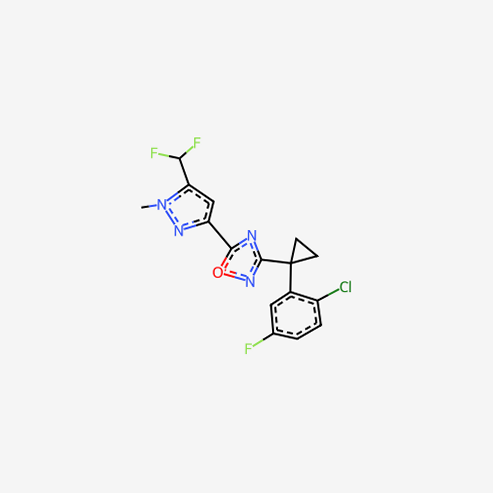 Cn1nc(-c2nc(C3(c4cc(F)ccc4Cl)CC3)no2)cc1C(F)F